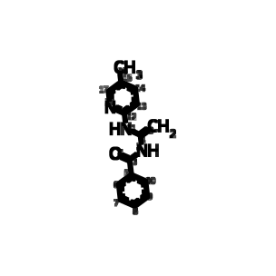 C=C(NC(=O)c1ccccc1)Nc1ccc(C)cn1